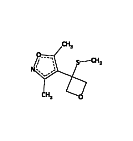 CSC1(c2c(C)noc2C)COC1